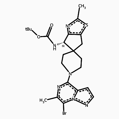 Cc1nc2c(s1)CC1(CCN(c3nc(C)c(Br)n4nccc34)CC1)[C@@H]2NC(=O)OC(C)(C)C